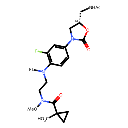 CCN(CCN(OC)C(=O)C1(C(=O)O)CC1)c1ccc(N2C[C@H](CNC(C)=O)OC2=O)cc1F